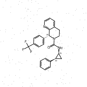 O=C(N[C@H]1C[C@H]1c1ccccc1)N1CCc2cccnc2[C@H]1c1ccc(C(F)(F)F)cc1